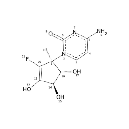 C[C@@]1(n2ccc(N)nc2=O)C(F)=C(O)[C@H](O)[C@H]1O